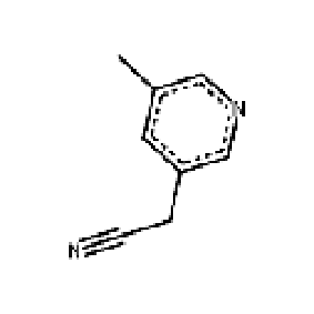 Cc1cncc(CC#N)c1